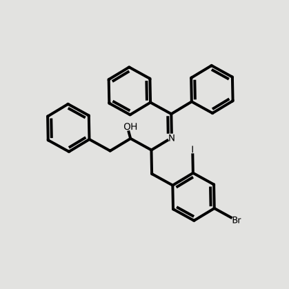 OC(Cc1ccccc1)C(Cc1ccc(Br)cc1I)N=C(c1ccccc1)c1ccccc1